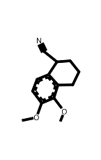 COc1ccc2c(c1OC)CCCC2C#N